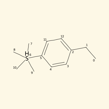 CCc1ccc([SH](C)(C)(C)C)cc1